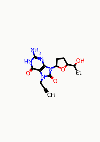 C#CCn1c(=O)n(C2CCC(C(O)CC)O2)c2nc(N)[nH]c(=O)c21